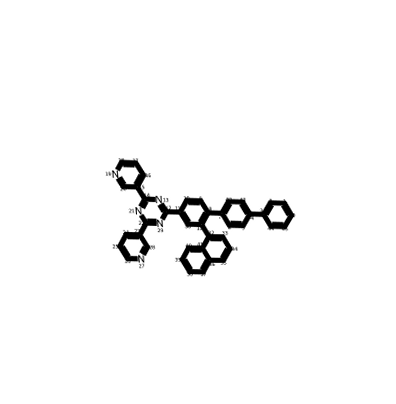 c1ccc(-c2ccc(-c3ccc(-c4nc(-c5cccnc5)nc(-c5cccnc5)n4)cc3-c3cccc4ccccc34)cc2)cc1